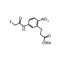 COC(=O)CSc1cc(NC(=O)CF)ccc1[N+](=O)[O-]